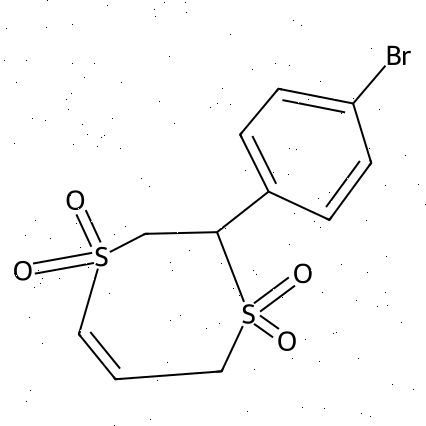 O=S1(=O)C=CCS(=O)(=O)C(c2ccc(Br)cc2)C1